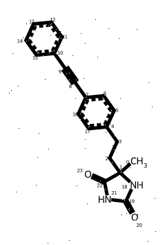 CC1(CCc2ccc(C#Cc3ccccc3)cc2)NC(=O)NC1=O